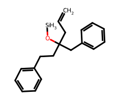 C=CCC(CCc1ccccc1)(Cc1ccccc1)O[SiH3]